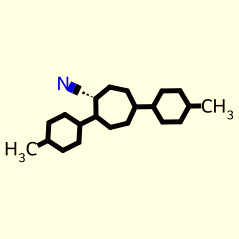 CC1CCC(C2CCC(C3CCC(C)CC3)[C@H](C#N)CC2)CC1